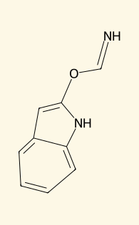 N=COc1cc2ccccc2[nH]1